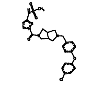 CS(=O)(=O)Nc1ccn(C(=O)N2CC3CN(Cc4ccc(Oc5ccc(Cl)cc5)cc4)CC3C2)n1